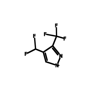 FC(F)C1=C[N]N=C1C(F)(F)F